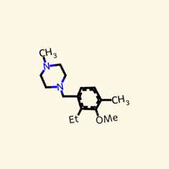 CCc1c(CN2CCN(C)CC2)ccc(C)c1OC